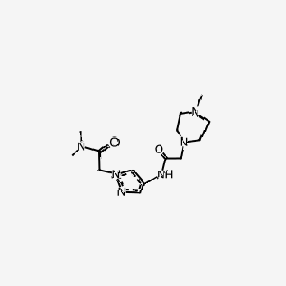 CN1CCN(CC(=O)Nc2cnn(CC(=O)N(C)C)c2)CC1